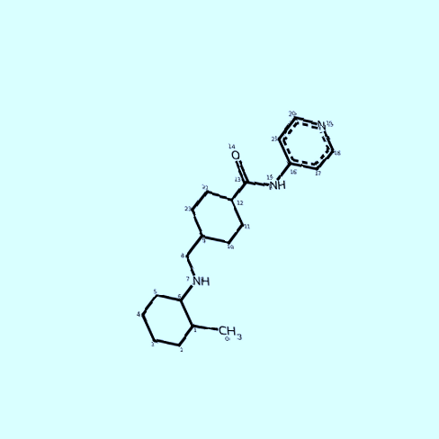 CC1CCCCC1NCC1CCC(C(=O)Nc2ccncc2)CC1